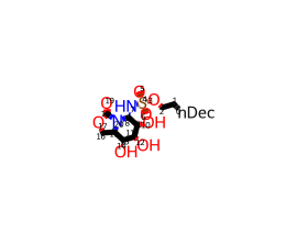 CCCCCCCCCCCCOS(=O)(=O)N[C@@H]1C(O)C(O)[C@H](O)C2COC(=O)N21